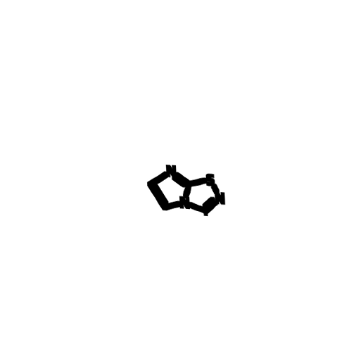 [c]1nsc2nccn12